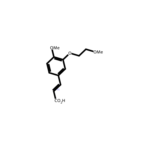 COCCOc1cc(/C=C/C(=O)O)ccc1OC